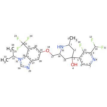 CC1CC(O)(c2ccnc(C(F)F)c2F)CC(COc2cc(C(F)(F)F)c3c(c2)ncn3C(C)C)N1